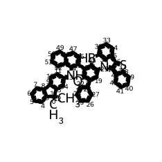 CC1(C)c2ccccc2-c2ccc(Nc3c(-c4c5c(cc6c4oc4ccccc46)-n4c6c(cccc6c6sc7ccccc7c64)B5)ccc4ccccc34)cc21